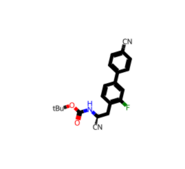 CC(C)(C)OC(=O)N[C@H](C#N)Cc1ccc(-c2ccc(C#N)cc2)cc1F